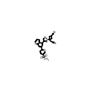 CS(=O)(=O)c1ccc(-c2cc(-c3cnn(C4(CC#N)CC(C#N)C4)n3)c3cccnc3c2)nc1